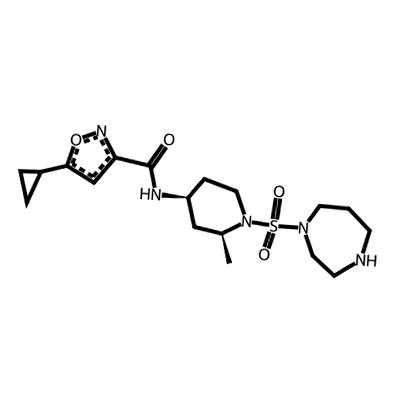 C[C@H]1C[C@@H](NC(=O)c2cc(C3CC3)on2)CCN1S(=O)(=O)N1CCCNCC1